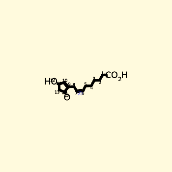 O=C(O)CCCCC/C=C\CC1=CC(O)CC1=O